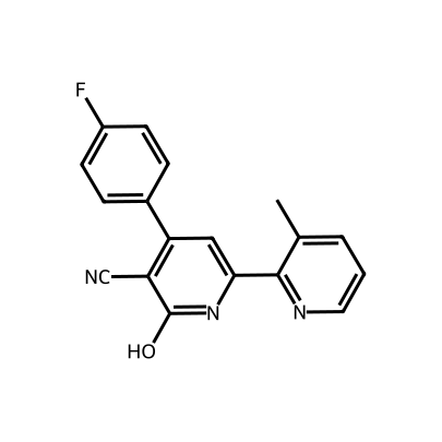 Cc1cccnc1-c1cc(-c2ccc(F)cc2)c(C#N)c(O)n1